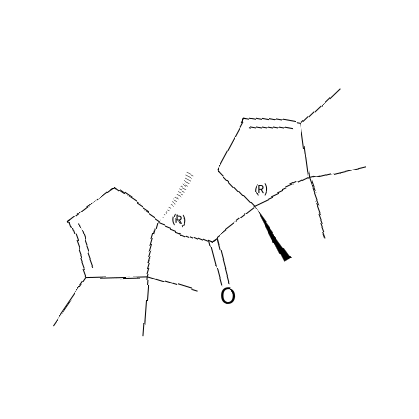 CC1=CC[C@@](C)(C(=O)[C@]2(C)CC=C(C)C2(C)C)C1(C)C